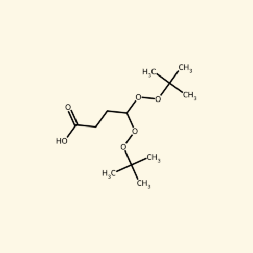 CC(C)(C)OOC(CCC(=O)O)OOC(C)(C)C